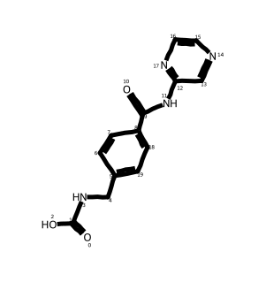 O=C(O)NCc1ccc(C(=O)Nc2cnccn2)cc1